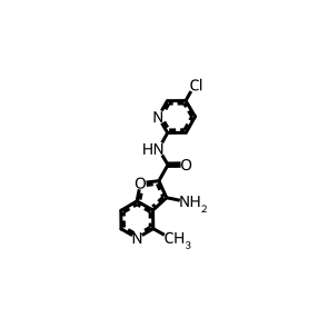 Cc1nccc2oc(C(=O)Nc3ccc(Cl)cn3)c(N)c12